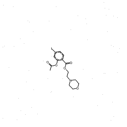 CC(=O)Oc1cc(I)ccc1C(=O)OCCN1CCOCC1